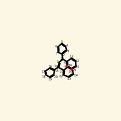 C([C](c1ccccc1)c1ccccc1)=C(c1ccccc1)c1ccccc1